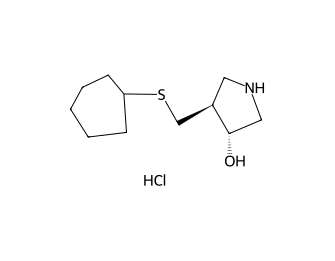 Cl.O[C@H]1CNC[C@@H]1CSC1CCCCC1